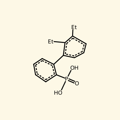 CCc1cccc(-c2ccccc2P(=O)(O)O)c1CC